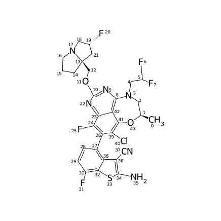 C[C@@H]1CN(CC(F)F)c2nc(OC[C@@]34CCCN3C[C@H](F)C4)nc3c(F)c(-c4ccc(F)c5sc(N)c(C#N)c45)c(Cl)c(c23)O1